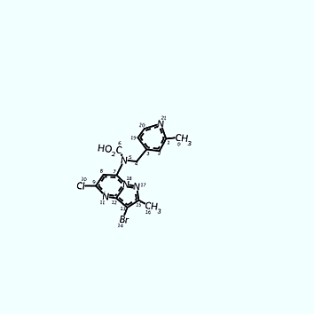 Cc1cc(CN(C(=O)O)c2cc(Cl)nc3c(Br)c(C)nn23)ccn1